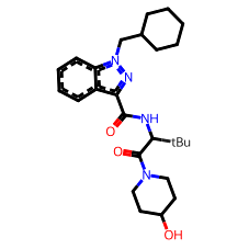 CC(C)(C)C(NC(=O)c1nn(CC2CCCCC2)c2ccccc12)C(=O)N1CCC(O)CC1